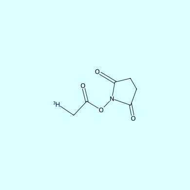 [3H]CC(=O)ON1C(=O)CCC1=O